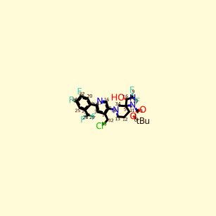 CC(C)(C)OC(=O)NC1(C(O)C(F)F)CCCN(c2cnc(-c3cc(F)c(F)cc3C(F)F)cc2CCl)C1